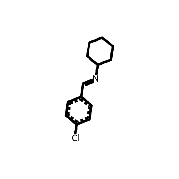 Clc1ccc(/C=N/C2CCCCC2)cc1